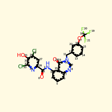 O=C(Nc1cccc2ncn(Cc3cccc(OC(F)(F)F)c3)c(=O)c12)c1cc(Cl)c(O)c(Cl)n1